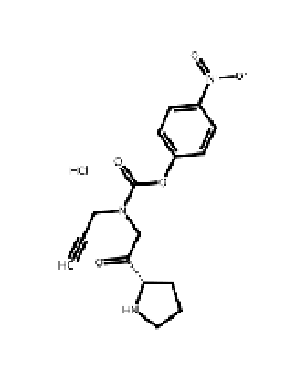 C#CCN(CC(=O)[C@@H]1CCCN1)C(=O)Oc1ccc([N+](=O)[O-])cc1.Cl